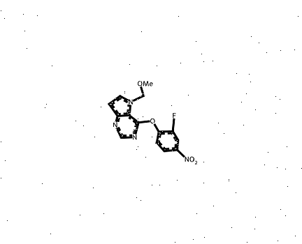 COCn1ccc2ncnc(Oc3ccc([N+](=O)[O-])cc3F)c21